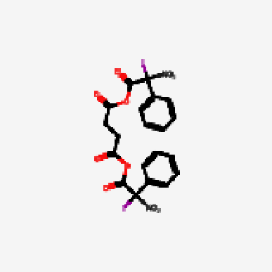 O=C(CCC(=O)OC(=O)C(I)(c1ccccc1)[N+](=O)[O-])OC(=O)C(I)(c1ccccc1)[N+](=O)[O-]